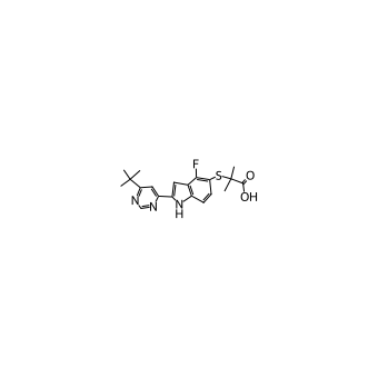 CC(C)(Sc1ccc2[nH]c(-c3cc(C(C)(C)C)ncn3)cc2c1F)C(=O)O